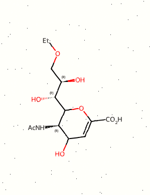 CCOC[C@@H](O)[C@@H](O)C1OC(C(=O)O)=CC(O)[C@H]1NC(C)=O